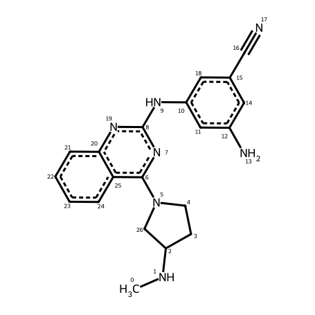 CNC1CCN(c2nc(Nc3cc(N)cc(C#N)c3)nc3ccccc23)C1